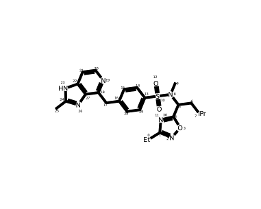 CCc1noc(C(CC(C)C)N(C)S(=O)(=O)c2ccc(Cc3nccc4[nH]c(C)nc34)cc2)n1